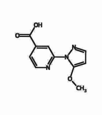 COc1ccnn1-c1cc(C(=O)O)ccn1